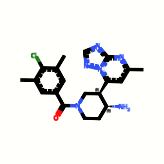 Cc1cc([C@@H]2CN(C(=O)c3cc(C)c(Cl)c(C)c3)CC[C@H]2N)n2ncnc2n1